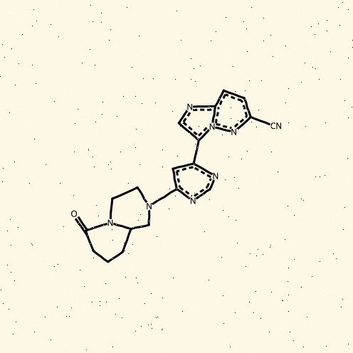 N#Cc1ccc2ncc(-c3cc(N4CCN5C(=O)CCCC5C4)ncn3)n2n1